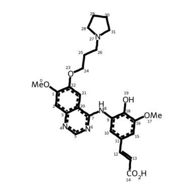 COc1cc2ncnc(Nc3cc(/C=C/C(=O)O)cc(OC)c3O)c2cc1OCCCN1CCCC1